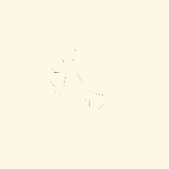 CCCCCCCCc1ccc(C(=O)O)c(C(=O)O)c1CCCCCCCC.CCCCOC(=O)c1ccccc1C(=O)OCCCC